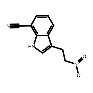 N#Cc1cccc2c(CC[N+](=O)[O-])c[nH]c12